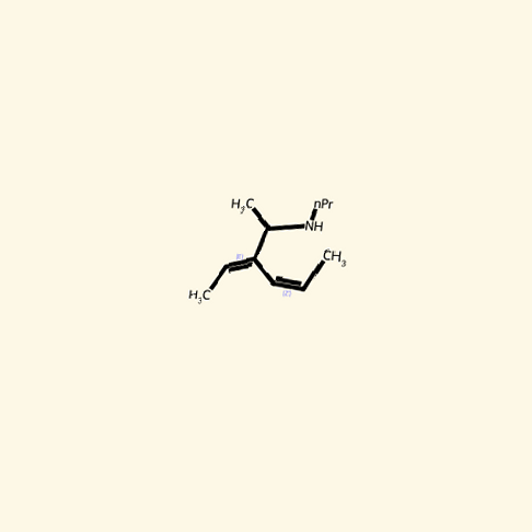 C/C=C\C(=C/C)C(C)NCCC